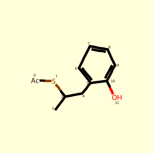 CC(=O)SC(C)Cc1ccccc1O